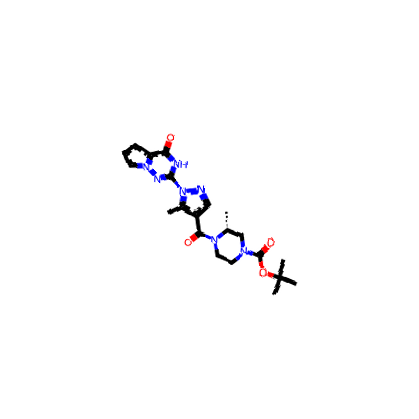 Cc1c(C(=O)N2CCN(C(=O)OC(C)(C)C)C[C@H]2C)cnn1-c1nn2cccc2c(=O)[nH]1